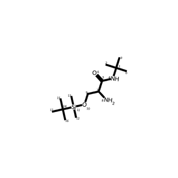 CC(C)(C)NC(=O)C(N)CO[Si](C)(C)C(C)(C)C